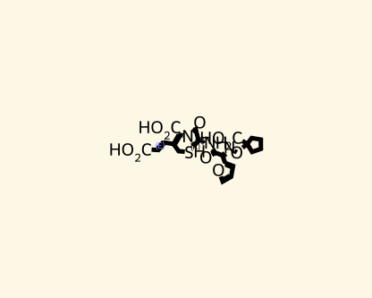 O=C(O)/C=C/C1=C(C(=O)O)N2C(=O)[C@@H](NC(=O)C(=NOC3(C(=O)O)CCCC3)c3ccco3)[C@H]2SC1